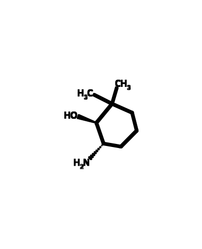 CC1(C)CCC[C@H](N)[C@H]1O